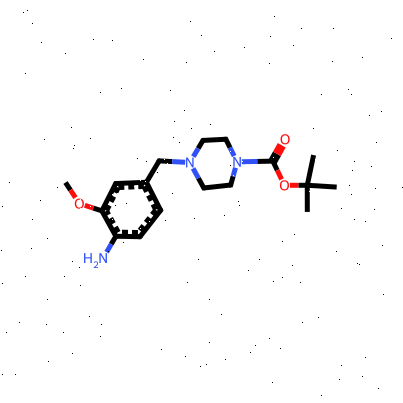 COc1cc(CN2CCN(C(=O)OC(C)(C)C)CC2)ccc1N